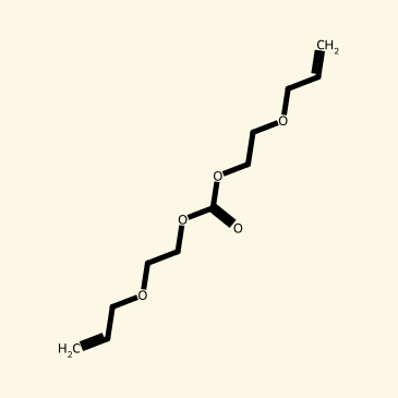 C=CCOCCOC(=O)OCCOCC=C